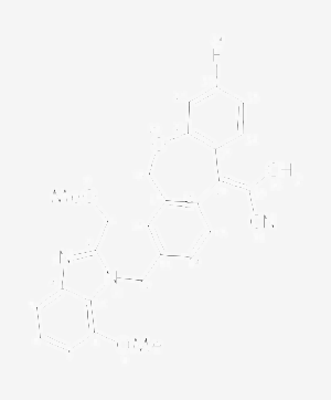 COCc1nc2cccc(OC)c2n1Cc1ccc2c(c1)COc1cc(F)ccc1C2=C(C)C#N